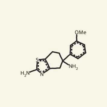 COc1cccc(C2(N)CCc3sc(N)nc3C2)c1